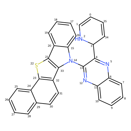 C1=CNC(c2nc3ccccc3nc2-n2c3ccccc3c3sc4c5ccccc5ccc4c32)C=C1